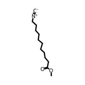 [C-]#[N+]CCCCCCCCCCC(=O)OC